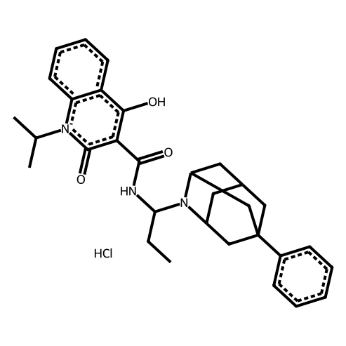 CCC(NC(=O)c1c(O)c2ccccc2n(C(C)C)c1=O)N1C2CC3CC1CC(c1ccccc1)(C3)C2.Cl